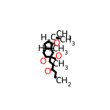 C=CCC(=O)CCC1(C(C)=O)C[C@]2(C)[C@H](CC[C@H]2OC(C)(C)C)CC1=O